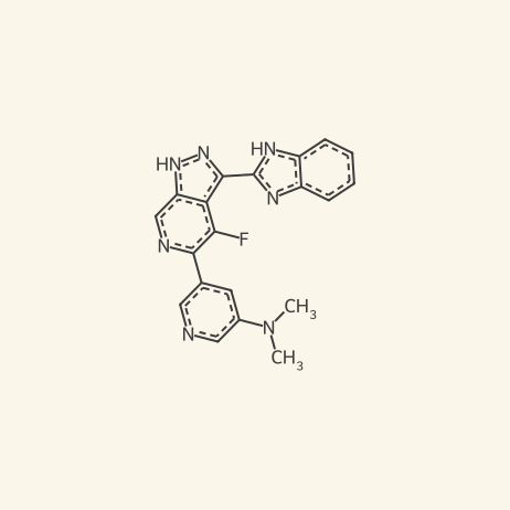 CN(C)c1cncc(-c2ncc3[nH]nc(-c4nc5ccccc5[nH]4)c3c2F)c1